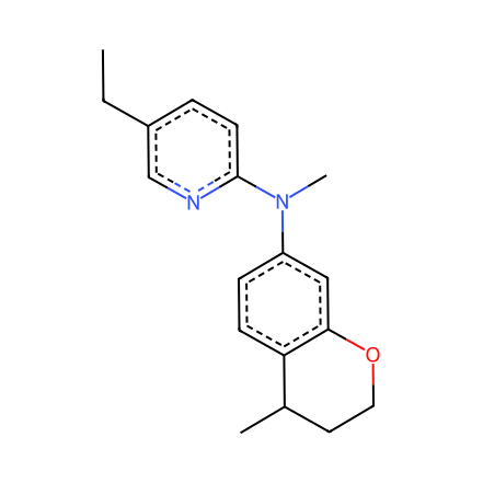 CCc1ccc(N(C)c2ccc3c(c2)OCCC3C)nc1